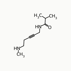 CNCCC#CCNC(=O)C(C)C